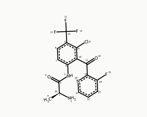 C[C@H](N)C(=O)Nc1ccc(C(F)(F)F)c(Cl)c1C(=O)c1ncccc1F